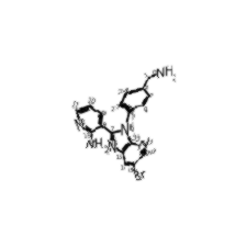 NCc1ccc(-n2c(-c3cccnc3N)nc3cc(Br)cnc32)cc1